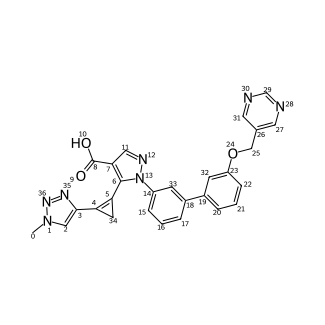 Cn1cc(C2=C(c3c(C(=O)O)cnn3-c3cccc(-c4cccc(OCc5cncnc5)c4)c3)C2)nn1